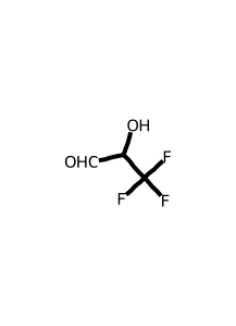 O=CC(O)C(F)(F)F